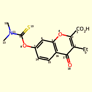 CCc1c(C(=O)O)oc2cc(OC(=S)N(C)C)ccc2c1=O